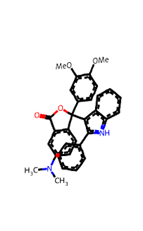 COc1ccc(C2(c3c(-c4ccccc4)[nH]c4ccccc34)OC(=O)c3cc(N(C)C)ccc32)cc1OC